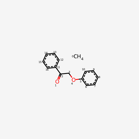 C.O=C(COc1ccccc1)c1ccccc1